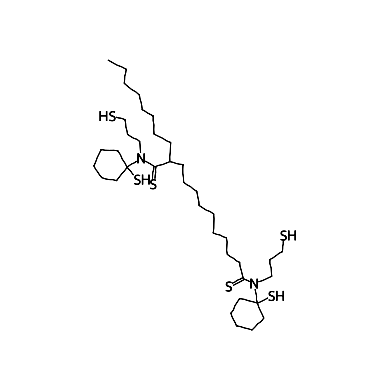 CCCCCCCCC(CCCCCCCCCC(=S)N(CCCS)C1(S)CCCCC1)C(=S)N(CCCS)C1(S)CCCCC1